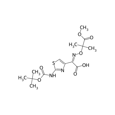 COC(=O)C(C)(C)ON=C(C(=O)O)c1csc(NC(=O)OC(C)(C)C)n1